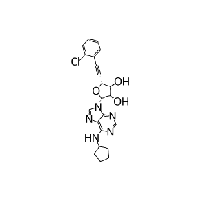 O[C@@H]1[C@H](O)[C@@H](C#Cc2ccccc2Cl)O[C@H]1n1cnc2c(NC3CCCC3)ncnc21